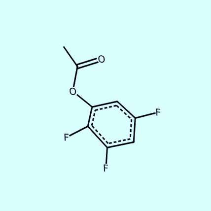 CC(=O)Oc1cc(F)cc(F)c1F